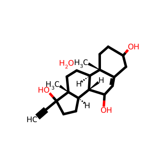 C#CC1(O)CC[C@@H]2[C@H]3C(O)C=C4CC(O)CC[C@@]4(C)[C@@H]3CC[C@]21C.O